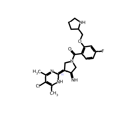 CC1=N/C(=C2\CN(C(=O)c3ccc(F)cc3OCC3CCCN3)CC2=N)NC(C)=C1Cl